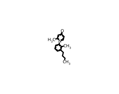 CCCCc1cccc(-n2ccc(=O)cc2C)c1C